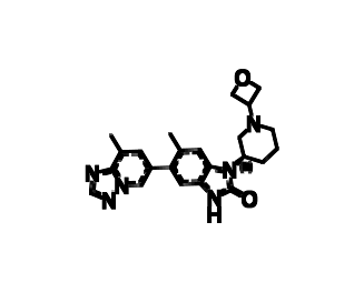 Cc1cc2c(cc1-c1cc(C)c3ncnn3c1)[nH]c(=O)n2[C@@H]1CCCN(C2COC2)C1